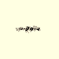 C[Si](C)(C)CCOCn1cc(C(F)(F)F)c2c(Oc3c(F)cc(NC(=O)NCC4(C#N)COC4)cc3F)ccnc21